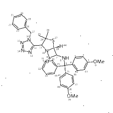 COc1ccc(C(NC2C(=O)N3C(c4nnnn4Cc4ccccc4)C(C)(C)S[C@H]23)(c2ccccc2)c2ccc(OC)cc2)cc1